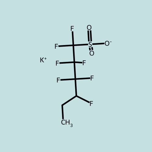 CCC(F)C(F)(F)C(F)(F)C(F)(F)S(=O)(=O)[O-].[K+]